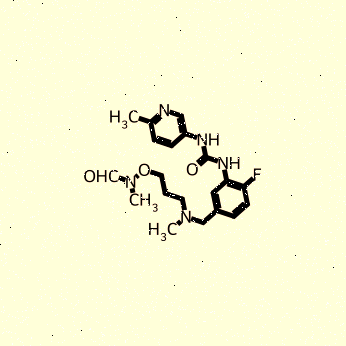 Cc1ccc(NC(=O)Nc2cc(CN(C)CCCON(C)C=O)ccc2F)cn1